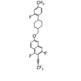 Cc1ccc(C2CCC(COc3ccc4c(F)c(C#CC(F)(F)F)c(F)cc4c3)CC2)c(F)c1